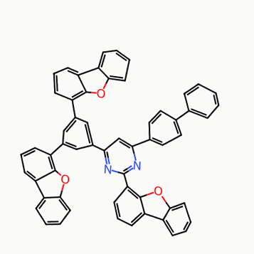 c1ccc(-c2ccc(-c3cc(-c4cc(-c5cccc6c5oc5ccccc56)cc(-c5cccc6c5oc5ccccc56)c4)nc(-c4cccc5c4oc4ccccc45)n3)cc2)cc1